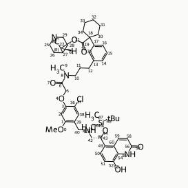 COc1cc(OCC(=O)N(C)CCCc2cccc(C3(C(=O)O[C@H]4CN5CCC4CC5)CCCCC3)c2)c(Cl)cc1CNC[C@H](O[Si](C)(C)C(C)(C)C)c1ccc(O)c2[nH]c(=O)ccc12